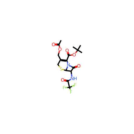 CC(=O)OCC1=C(C(=O)OC(C)(C)C)N2C(=O)C(NC(=O)C(F)(F)F)C2SC1